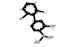 OB(O)c1ccc(-c2c(F)cccc2F)cc1O